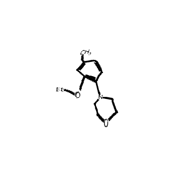 CCOc1cc(C)ccc1N1CCOCC1